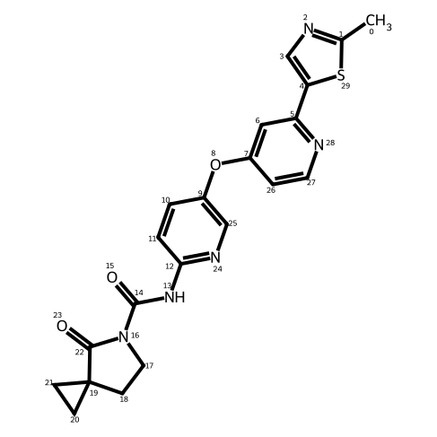 Cc1ncc(-c2cc(Oc3ccc(NC(=O)N4CCC5(CC5)C4=O)nc3)ccn2)s1